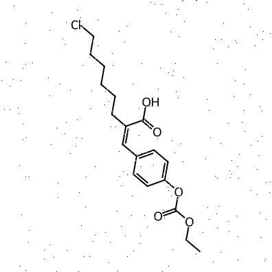 CCOC(=O)Oc1ccc(C=C(CCCCCCCl)C(=O)O)cc1